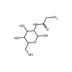 CCC(=O)NC1C(O)OC(CO)C(O)C1O